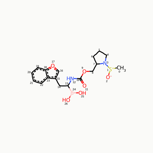 C[S+]([O-])N1CCCC1COC(=O)NC(Cc1coc2ccccc12)B(O)O